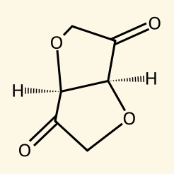 O=C1CO[C@@H]2C(=O)CO[C@H]12